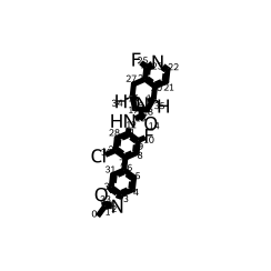 Cc1nc2ccc(-c3cc(F)c(NC(=O)N4[C@H]5CC[C@@H]4c4ccnc(F)c4C5)cc3Cl)cc2o1